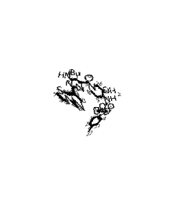 CC[C@@H](C)Nc1cc(C(=O)N2CCC(NC(=O)OS(=O)(=O)c3ccc(C)cc3)CC2)nc(-c2cnn3ccsc23)n1.O